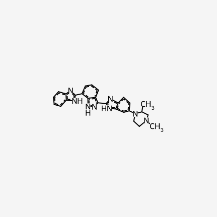 CC1CN(C)CCN1c1ccc2nc(-c3n[nH]c4c(-c5nc6ccccc6[nH]5)cccc34)[nH]c2c1